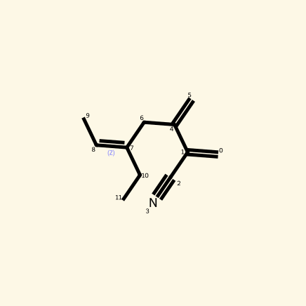 C=C(C#N)C(=C)C/C(=C\C)CC